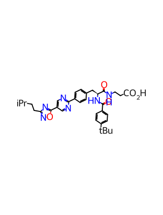 CC(C)CCc1noc(-c2cnc(-c3ccc(C[C@H](NC(=O)c4ccc(C(C)(C)C)cc4)C(=O)NCCC(=O)O)cc3)nc2)n1